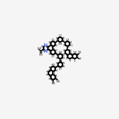 Cc1cc2ccc3ccc(-c4cccc(-c5cccc(-c6ccc7c(c6)c6cc(-c8cccc(-c9cccc(-c%10ccc%11ccc%12cc(C)c(C)cc%12c%11c%10)c9)c8)ccc6c6nc(C(C)C)cnc76)c5)c4)cc3c2cc1C